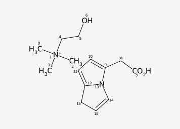 C[N+](C)(C)CCO.O=C(O)Cc1ccc2n1C=CC2